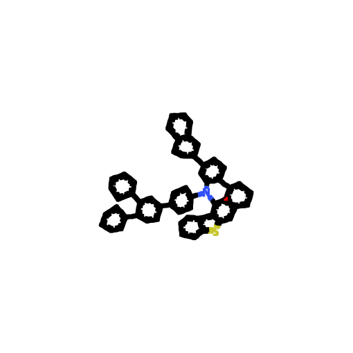 c1ccc(-c2ccc(-c3ccc(N(c4cc(-c5ccc6ccccc6c5)ccc4-c4ccccc4)c4cccc5sc6ccccc6c45)cc3)cc2-c2ccccc2)cc1